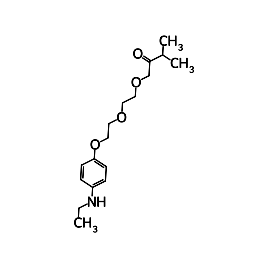 CCNc1ccc(OCCOCCOCC(=O)C(C)C)cc1